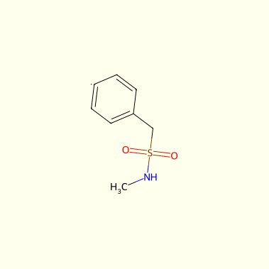 CNS(=O)(=O)Cc1cc[c]cc1